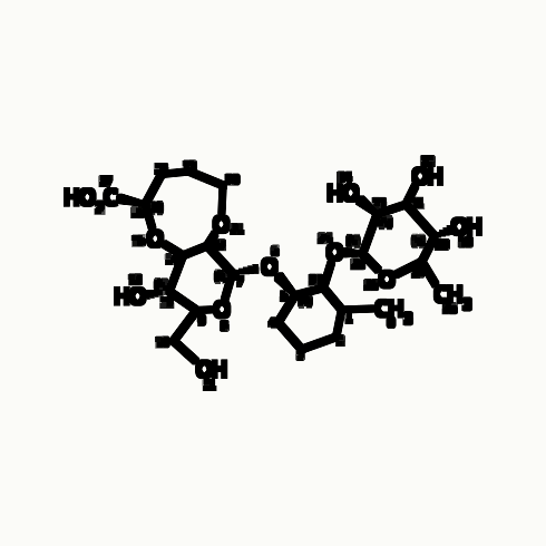 CC1CCC[C@@H](O[C@@H]2OC(CO)[C@H](O)C3O[C@@H](C(=O)O)CCCOC32)C1O[C@@H]1OC(C)[C@@H](O)C(O)[C@@H]1O